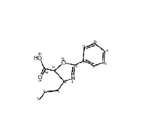 CCCC1N=C(c2ccccc2)OC1C(=O)O